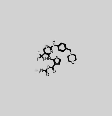 NC(=O)OC(=O)c1ccsc1Nc1nc(Nc2ccc(CN3CCOCC3)cc2)ncc1C(F)(F)F